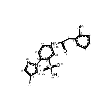 CC(C)c1ccccc1CC(=O)Nc1ccc(-n2cc(F)cn2)c(S(N)(=O)=O)c1